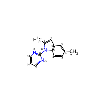 Cc1ccc2c(c1)cc(C)n2-c1ncccn1